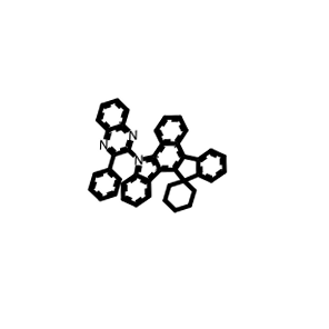 c1ccc(-c2nc3ccccc3nc2-n2c3ccccc3c3c4c(c5ccccc5c32)-c2ccccc2C42CCCCC2)cc1